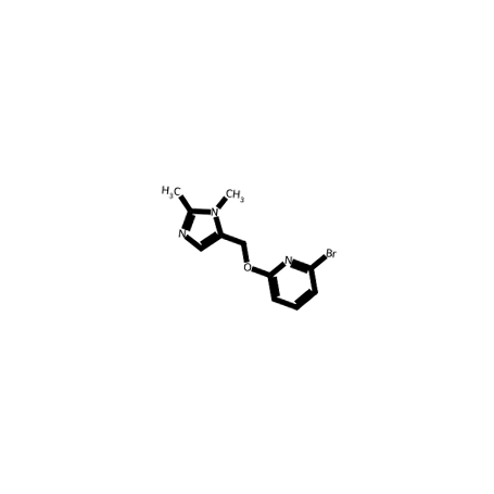 Cc1ncc(COc2cccc(Br)n2)n1C